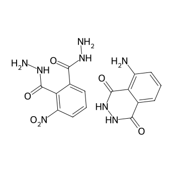 NNC(=O)c1cccc([N+](=O)[O-])c1C(=O)NN.Nc1cccc2c(=O)[nH][nH]c(=O)c12